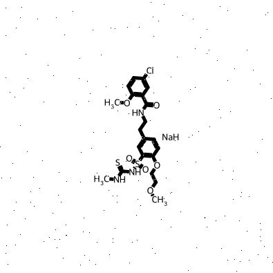 CNC(=S)NS(=O)(=O)c1cc(CCNC(=O)c2cc(Cl)ccc2OC)ccc1OCCOC.[NaH]